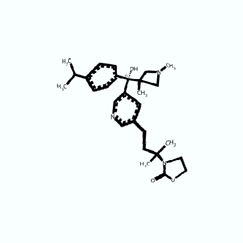 CC(C)c1ccc([C@](O)(c2cncc(CCC(C)(C)N3CCOC3=O)c2)C2(C)CN(C)C2)cc1